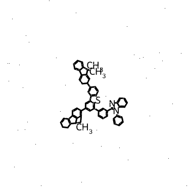 CC1(C)C2=CC(c3ccc4sc5c(-c6cccc(-c7nc8ccccc8n7-c7ccccc7)c6)cc(-c6ccc7c8c6CC8(C)C6=C7C=CCC6)cc5c4c3)CC=C2c2ccccc21